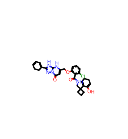 O=C(NCC1(C2=CCCC=C2O)CCC1)c1c(Cl)cccc1OCC1=CC(=O)N2N=C(C3=CC=CCC3)NC2N1